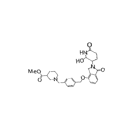 COC(=O)C1CCCN(Cc2ccc(COc3cccc4c3CN(C3CCC(=O)NC3O)C4=O)cc2)C1